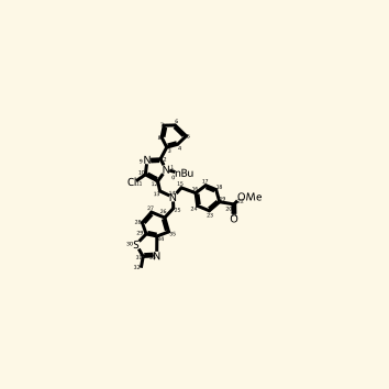 CCCCn1c(-c2ccccc2)nc(Cl)c1CN(Cc1ccc(C(=O)OC)cc1)Cc1ccc2sc(C)nc2c1